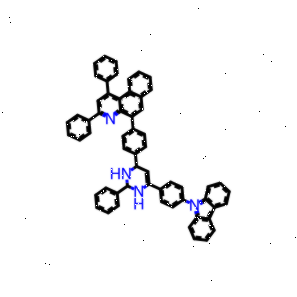 C1=C(c2ccc(-n3c4ccccc4c4ccccc43)cc2)NC(c2ccccc2)NC1c1ccc(-c2cc3ccccc3c3c(-c4ccccc4)cc(-c4ccccc4)nc23)cc1